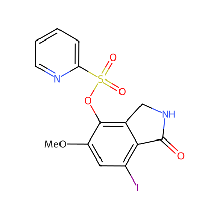 COc1cc(I)c2c(c1OS(=O)(=O)c1ccccn1)CNC2=O